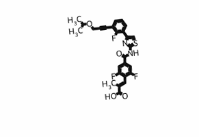 C/C(=C\c1c(F)cc(C(=O)Nc2nc(-c3cccc(C#CCOC(C)C)c3F)cs2)cc1F)C(=O)O